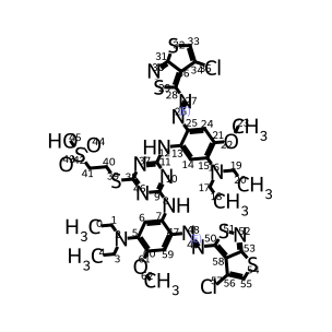 CCN(CC)c1cc(Nc2nc(Nc3cc(N(CC)CC)c(OC)cc3/N=N/c3snc4scc(Cl)c34)nc(SCCS(=O)(=O)O)n2)c(/N=N/c2snc3scc(Cl)c23)cc1OC